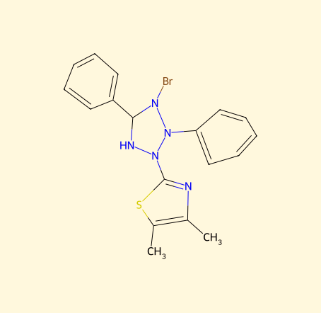 Cc1nc(N2NC(c3ccccc3)N(Br)N2c2ccccc2)sc1C